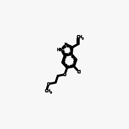 C=Cc1n[nH]c2cc(OCCOC)c(Cl)cc12